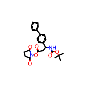 CC(C)(C)OC(=O)NC(CC(=O)ON1C(=O)CCC1=O)c1ccc(-c2ccccc2)cc1